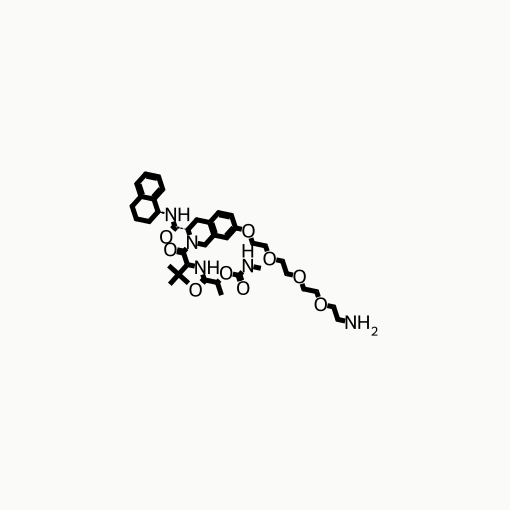 CNC(=O)OC(C)C(=O)NC(C(=O)N1Cc2cc(OCCOCCOCCOCCN)ccc2C[C@H]1C(=O)N[C@@H]1CCCc2ccccc21)C(C)(C)C